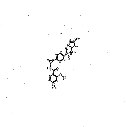 CCOc1cc(C(F)(F)F)ccc1C(=O)NC1CC1c1ccc(S(=O)(=O)Nc2nnc(C(C)C)s2)cc1